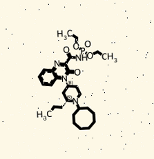 CCC[C@@H]1C[C@H](n2c(=O)c(C(=O)NP(=O)(OCC)OCC)nc3ccccc32)CCN1C1CCCCCCC1